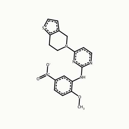 COc1ccc([N+](=O)[O-])cc1Nc1nccc(N2CCc3sccc3C2)n1